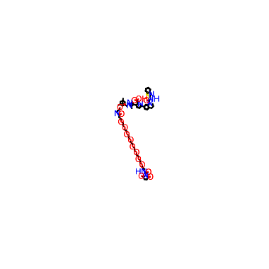 Cc1c(-c2ccc(-c3ccc4c(c3)N(C(=O)Nc3nc5ccccc5s3)CCC4)nc2C(=O)O)cnn1CC12CC(OCCN(C)C(=O)CCOCCOCCOCCOCCOCCOCCOCCOCCNC(=O)N3C(=O)C=CC3=O)=C3C(C)(C1)CC3(C)C2